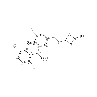 CCc1cc(CCN2CC(F)C2)cn(C(C(=O)O)c2cc(Br)ccc2F)c1=O